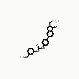 NCc1cccc(NC(=O)Nc2ccc(-c3ccc4c(c3)CC(CC(=O)O)C4=O)cc2)c1